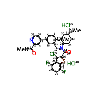 CNC(=O)c1cc(-c2ccc(OC)c(CN(C(=O)c3sc4c(F)ccc(F)c4c3Cl)C3CCC(NC)CC3)c2)ccn1.Cl.Cl